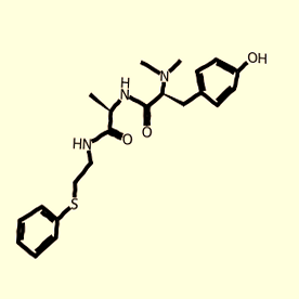 C[C@@H](NC(=O)[C@H](Cc1ccc(O)cc1)N(C)C)C(=O)NCCSc1ccccc1